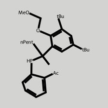 CCCCCC(C)(Pc1ccccc1C(C)=O)c1cc(C(C)(C)C)cc(C(C)(C)C)c1OCOC